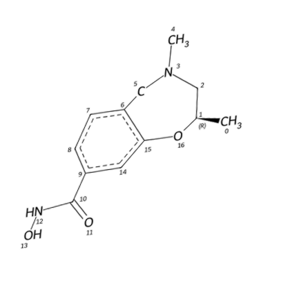 C[C@@H]1CN(C)Cc2ccc(C(=O)NO)cc2O1